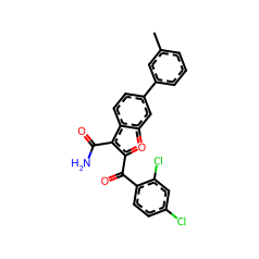 Cc1cccc(-c2ccc3c(C(N)=O)c(C(=O)c4ccc(Cl)cc4Cl)oc3c2)c1